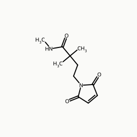 CNC(=O)C(C)(C)CCN1C(=O)C=CC1=O